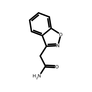 NC(=O)Cc1noc2ccccc12